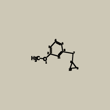 COc1cccc(CC2CC2)c1